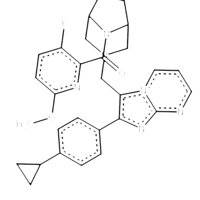 COc1ccc(F)c(C(=O)N2C3CCC2CN(Cc2c(-c4ccc(C5CC5)cc4)nc4ncccn24)C3)n1